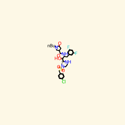 CCCCN1CC(C(=O)NC(Cc2cc(F)cc(F)c2)[C@H](O)[C@H]2CN(S(=O)(=O)Cc3ccc(Cl)cc3)CCN2)CC1=O